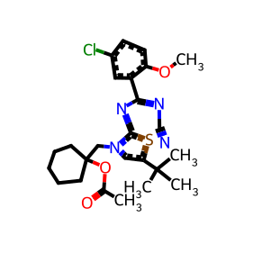 COc1ccc(Cl)cc1C(=NC#N)N=c1sc(C(C)(C)C)cn1CC1(OC(C)=O)CCCCC1